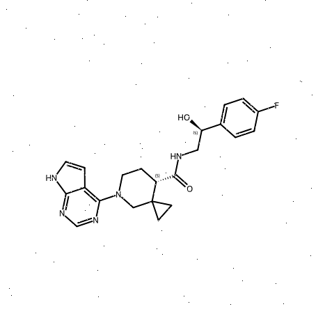 O=C(NC[C@@H](O)c1ccc(F)cc1)[C@H]1CCN(c2ncnc3[nH]ccc23)CC12CC2